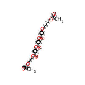 CCC1(COCCCCCCOc2ccc(C(=O)Oc3ccc(C(=O)Oc4ccc(C(=O)OCCCCOCC5(CC)COC5)cc4)cc3)cc2)COC1